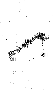 O=CC(Cc1ccc(O)cc1)NC(=O)COCCOCCNC(=O)COCCOCCNC(=O)COCCOCCNC(=O)COCCOCCNC(=O)CCC(NC(=O)CCC(NC(=O)CCCCCCCCCCCCCCCCC(=O)O)C(=O)O)C(=O)O